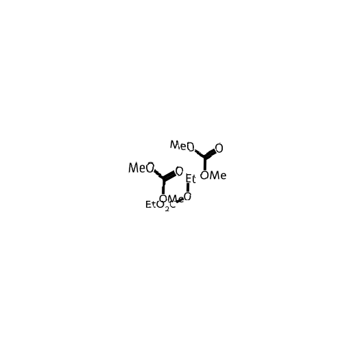 CCOC(=O)OCC.COC(=O)OC.COC(=O)OC